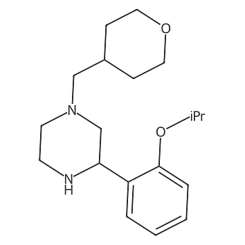 CC(C)Oc1ccccc1C1CN(CC2CCOCC2)CCN1